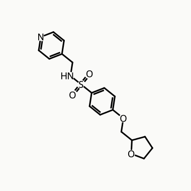 O=S(=O)(NCc1ccncc1)c1ccc(OCC2CCCO2)cc1